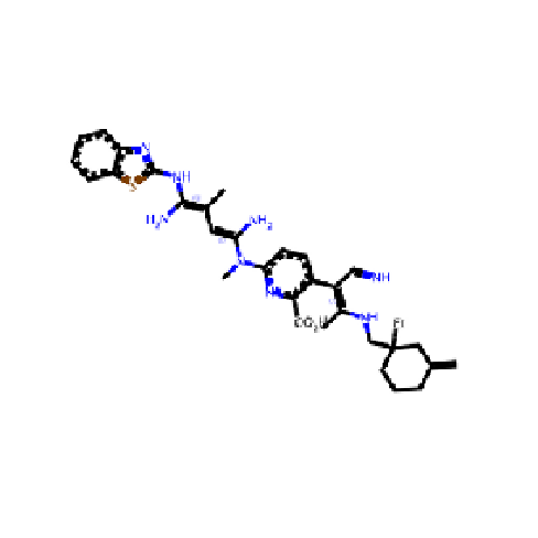 C=C1CCCC(CC)(CN/C(C)=C(\C=N)c2ccc(N(C)/C(N)=C/C(C)=C(\N)Nc3nc4ccccc4s3)nc2C(=O)O)C1